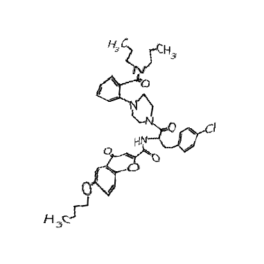 CCCCOc1ccc2oc(C(=O)N[C@H](Cc3ccc(Cl)cc3)C(=O)N3CCN(c4ccccc4C(=O)N(CCC)CCC)CC3)cc(=O)c2c1